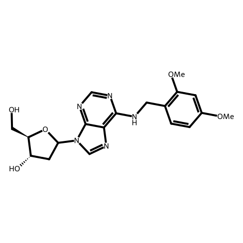 COc1ccc(CNc2ncnc3c2ncn3C2C[C@H](O)[C@@H](CO)O2)c(OC)c1